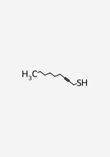 CCCCCCC#CCS